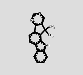 CC1(C)c2cncnc2-c2ccc3c([nH]c4ccccc43)c21